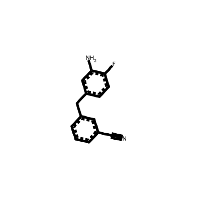 N#Cc1cccc(Cc2ccc(F)c(N)c2)c1